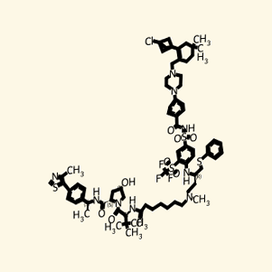 Cc1ncsc1-c1ccc([C@H](C)NC(=O)[C@@H]2C[C@@H](O)CN2C(=O)[C@@H](NC(=O)CCCCCCN(C)CC[C@H](CSc2ccccc2)Nc2ccc(S(=O)(=O)NC(=O)c3ccc(N4CCN(CC5=C(C67CC(Cl)(C6)C7)CC(C)(C)CC5)CC4)cc3)cc2S(=O)(=O)C(F)(F)F)C(C)(C)C)cc1